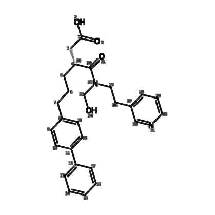 O=C(O)C[C@@H](CCCc1ccc(-c2ccccc2)cc1)C(=O)N(CO)CCc1cccnc1